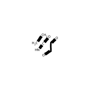 C=C.N=C=O.O=CC=O